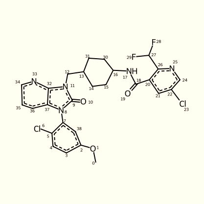 COc1ccc(Cl)c(-n2c(=O)n(CC3CCC(NC(=O)c4cc(Cl)cnc4C(F)F)CC3)c3ncccc32)c1